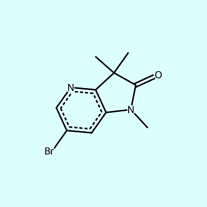 CN1C(=O)C(C)(C)c2ncc(Br)cc21